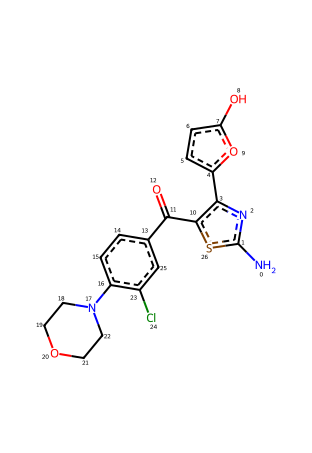 Nc1nc(-c2ccc(O)o2)c(C(=O)c2ccc(N3CCOCC3)c(Cl)c2)s1